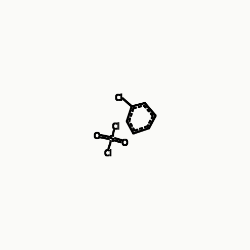 Clc1ccccc1.O=S(=O)(Cl)Cl